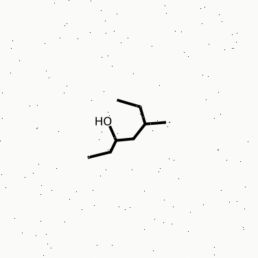 [CH2]C(CC)CC(O)CC